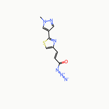 Cn1cc(-c2nc(C=CC(=O)N=[N+]=[N-])cs2)cn1